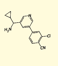 N#Cc1ccc(-c2cncc(C(N)C3CC3)c2)cc1Cl